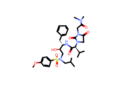 COc1ccc(S(=O)(=O)N(CC(C)C)C[C@@H](O)[C@H](Cc2ccccc2)NC(=O)[C@H](C(C)C)N2CC(=O)N(CC(=O)N(C)C)C2=O)cc1